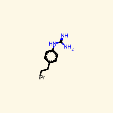 CC(C)CCc1ccc(NC(=N)N)cc1